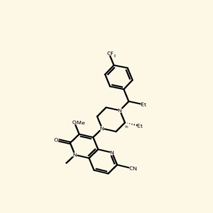 CCC(c1ccc(C(F)(F)F)cc1)N1CCN(c2c(OC)c(=O)n(C)c3ccc(C#N)nc23)C[C@H]1CC